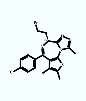 Cc1sc2c(c1C)C(c1ccc(Cl)cc1)=N[C@@H](CCBr)c1nnc(C)n1-2